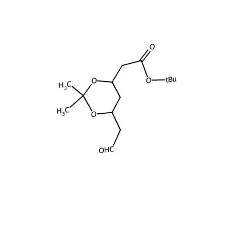 CC(C)(C)OC(=O)CC1CC(CC=O)OC(C)(C)O1